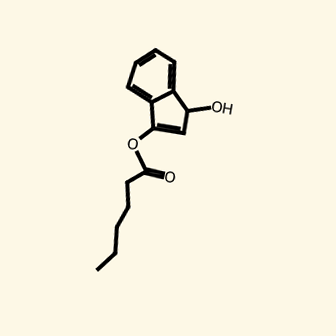 CCCCCC(=O)OC1=CC(O)c2ccccc21